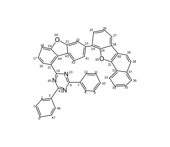 c1ccc(-c2nc(-c3ccccc3)nc(-c3cccc4oc5cc(-c6cccc7c6oc6c8ccccc8ccc76)ccc5c34)n2)cc1